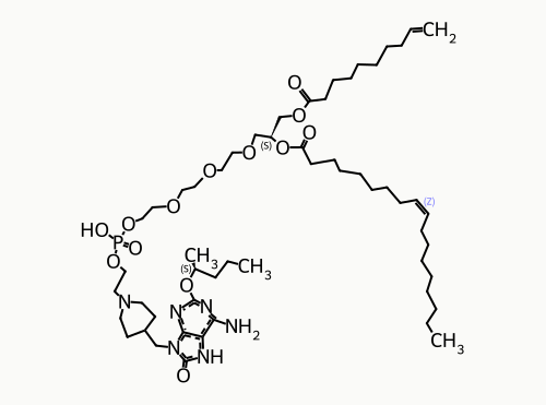 C=CCCCCCCCC(=O)OC[C@H](COCCOCCOCCOP(=O)(O)OCCN1CCC(Cn2c(=O)[nH]c3c(N)nc(O[C@@H](C)CCC)nc32)CC1)OC(=O)CCCCCCC/C=C\CCCCCCCC